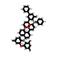 Cc1cc(C)c(B(c2c(C)cc(C)cc2C)c2ccc3c4c(cccc24)Oc2cc(N(c4ccccc4)c4c(F)cc(-c5ccccc5)cc4-c4ccccc4)ccc2-3)c(C)c1